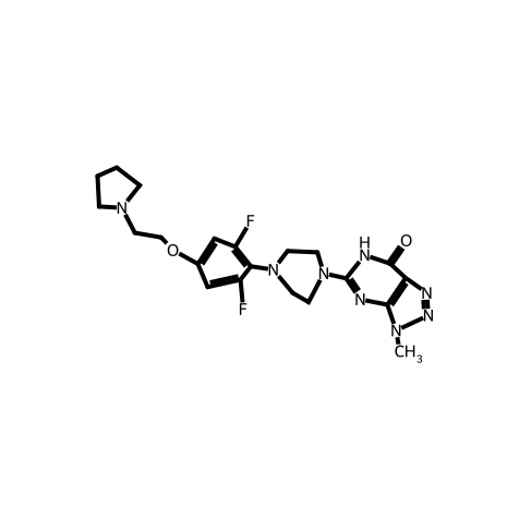 Cn1nnc2c(=O)[nH]c(N3CCN(c4c(F)cc(OCCN5CCCC5)cc4F)CC3)nc21